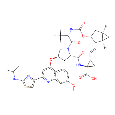 C=C[C@@H]1C[C@]1(NC(=O)[C@@H]1C[C@@H](Oc2cc(-c3csc(NC(C)C)n3)nc3cc(OC)ccc23)CN1C(=O)[C@@H](NC(=O)O[C@H]1C[C@@H]2C[C@@H]2C1)C(C)(C)C)C(=O)O